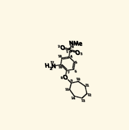 CNS(=O)(=O)c1ccc(OC2CCCCCC2)c(N)c1